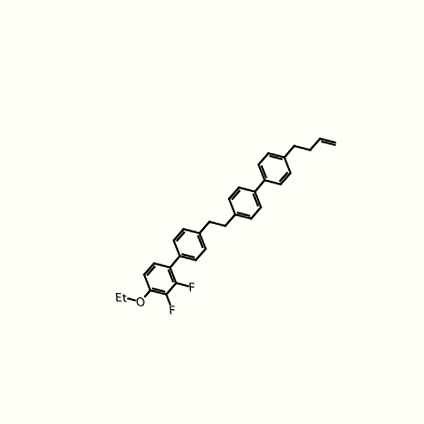 C=CCCc1ccc(-c2ccc(CCc3ccc(-c4ccc(OCC)c(F)c4F)cc3)cc2)cc1